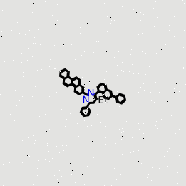 CCC1=C(c2cccc3cc(-c4ccccc4)ccc23)N=C(c2ccc3c(ccc4c5ccccc5ccc34)c2)N=C(c2ccccc2)C1